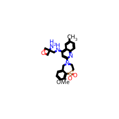 COc1cccc2c1S(=O)(=O)CCN(c1cc(NCC3(N)COC3)c3cc(C)ccc3n1)C2